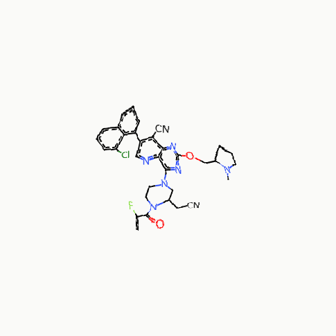 C=C(F)C(=O)N1CCN(c2nc(OCC3CCCN3C)nc3c(C#N)c(-c4cccc5cccc(Cl)c45)cnc23)CC1CC#N